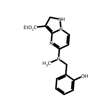 CCOC(=O)C1=C2N=C(N(C)Cc3ccccc3O)C=CN2NC1